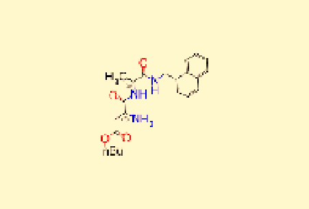 CCCCOC(=O)C[C@H](N)C(=O)N[C@@H](C)C(=O)NCc1cccc2ccccc12